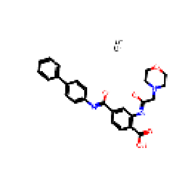 O=C(O)c1ccc(/C([O-])=N/c2ccc(-c3ccccc3)cc2)cc1/N=C(\[O-])CN1CCOCC1.[Li+].[Li+]